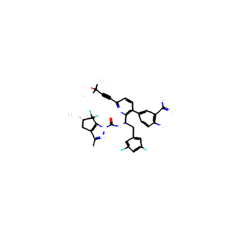 C[C@@H]1Cc2c(C(F)(F)F)nn(C(=O)NC(Cc3cc(F)cc(F)c3)c3nc(C#CC(C)(C)O)ccc3-c3ccc(N)c(C(=N)N)c3)c2C1(F)F